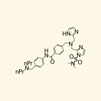 CCCN(CCC)Cc1ccc(NC(=O)c2ccc(CN(Cc3ncc[nH]3)Cc3nccn3S(=O)(=O)N(C)C)cc2)cc1